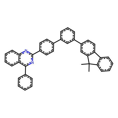 CC1(C)c2ccccc2-c2ccc(-c3cccc(-c4ccc(-c5nc(-c6ccccc6)c6ccccc6n5)cc4)c3)cc21